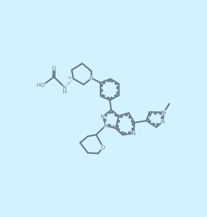 Cn1cc(-c2cc3c(-c4cccc(N5CCC[C@@H](NC(=O)O)C5)c4)nn(C4CCCCO4)c3cn2)cn1